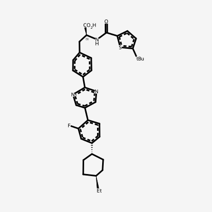 CC[C@H]1CC[C@H](c2ccc(-c3cnc(-c4ccc(C[C@H](NC(=O)c5ccc(C(C)(C)C)s5)C(=O)O)cc4)nc3)c(F)c2)CC1